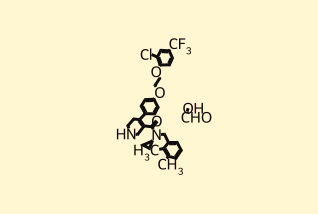 Cc1cccc(CN(C(=O)C2=C(c3ccc(OCCOc4ccc(C(F)(F)F)cc4Cl)cc3)CCNC2)C2CC2)c1C.O=CO